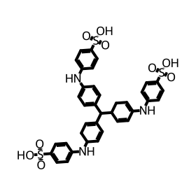 O=S(=O)(O)c1ccc(NC2=CCC(C(C3=CCC(Nc4ccc(S(=O)(=O)O)cc4)C=C3)c3ccc(Nc4ccc(S(=O)(=O)O)cc4)cc3)C=C2)cc1